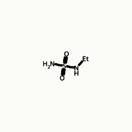 CCNS(N)(=O)=O